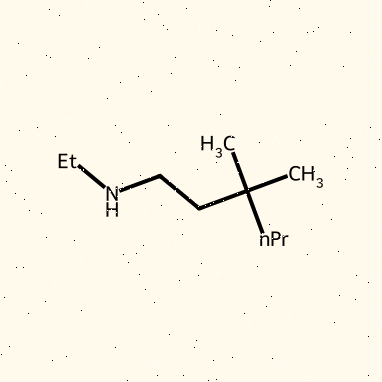 CCCC(C)(C)CCNCC